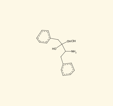 Cl.NC(Cc1ccccc1)C(O)(O)Cc1ccccc1